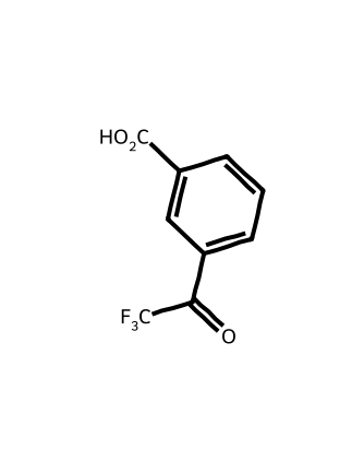 O=C(O)c1cccc(C(=O)C(F)(F)F)c1